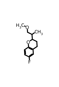 COCC(C)C1CCc2cc(F)ccc2O1